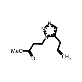 C=CCc1cnnn1CCC(=O)OC